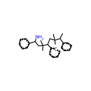 CC(c1ccccc1)C(C)(C)CC(c1ccccc1)C(C)(C)CC(N)c1ccccc1